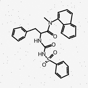 CN(C(=O)C(Cc1ccccc1)NC(=O)NS(=O)(=O)c1ccccc1)c1cccc2ccccc12